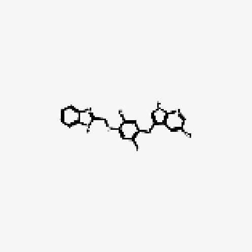 Fc1cc(OCc2nc3ccccc3[nH]2)c(F)cc1Cc1c[nH]c2ncc(Cl)cc12